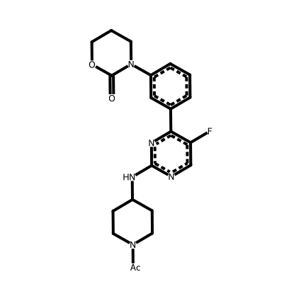 CC(=O)N1CCC(Nc2ncc(F)c(-c3cccc(N4CCCOC4=O)c3)n2)CC1